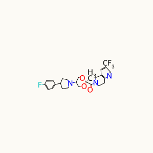 C[C@]1(C(=O)N2CCc3ncc(C(F)(F)F)cc3C2)OC[C@@H](N2CCC(c3ccc(F)cc3)CC2)CO1